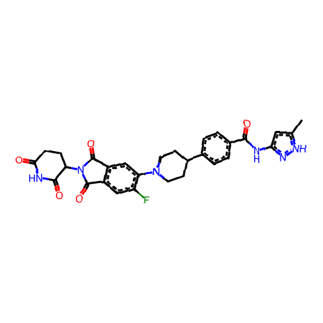 Cc1cc(NC(=O)c2ccc(C3CCN(c4cc5c(cc4F)C(=O)N(C4CCC(=O)NC4=O)C5=O)CC3)cc2)n[nH]1